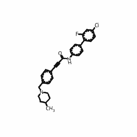 CC1CCN(Cc2ccc(C#CC(=O)Nc3ccc(-c4ccc(Cl)cc4F)cc3)cc2)CC1